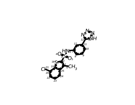 Cc1c(S(=O)(=O)Nc2cccc(-c3nnn[nH]3)c2)sc2c(Cl)cccc12